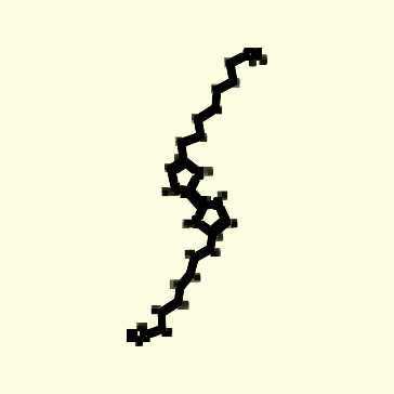 CCCCCCCCC1=CS/C(=C2/SC=C(CCCCCCCC)S2)S1